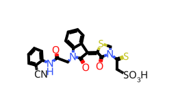 N#Cc1ccccc1NC(=O)CN1C(=O)C(=C2SCN(C(=S)CS(=O)(=O)O)C2=O)c2ccccc21